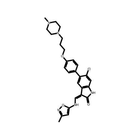 Cc1cc(N/C=C2\C(=O)Nc3cc(Cl)c(-c4ccc(OCCCN5CCN(C)CC5)cc4)cc32)on1